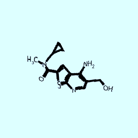 CN(C(=O)c1cc2c(N)c(CO)cnc2s1)C1CC1